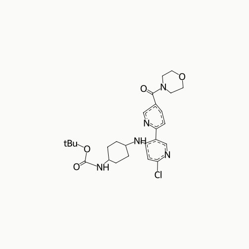 CC(C)(C)OC(=O)NC1CCC(Nc2cc(Cl)ncc2-c2ccc(C(=O)N3CCOCC3)cn2)CC1